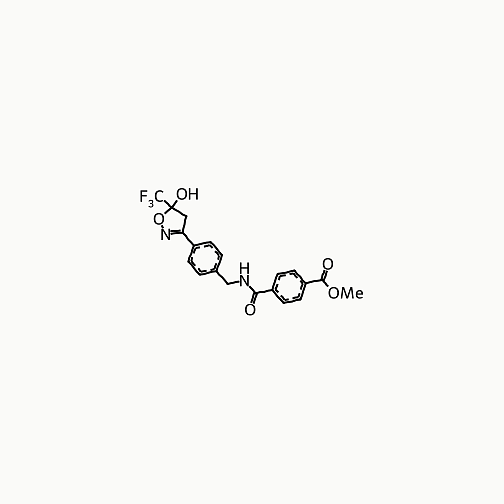 COC(=O)c1ccc(C(=O)NCc2ccc(C3=NOC(O)(C(F)(F)F)C3)cc2)cc1